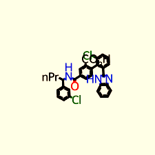 CCCC(NC(=O)c1ccc(-c2c(Cl)cccc2-c2nc3ccccc3[nH]2)c(C(=O)O)c1)c1cccc(Cl)c1